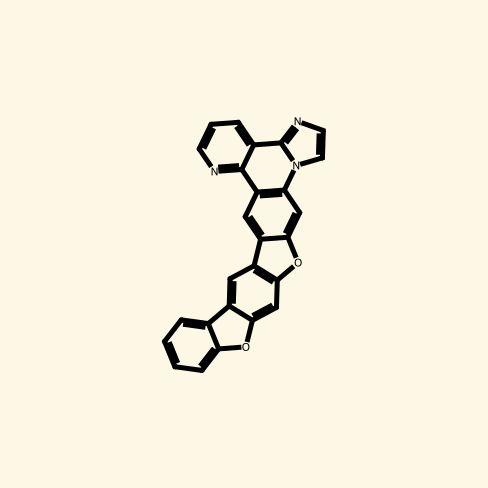 c1ccc2c(c1)oc1cc3oc4cc5c(cc4c3cc12)c1ncccc1c1nccn51